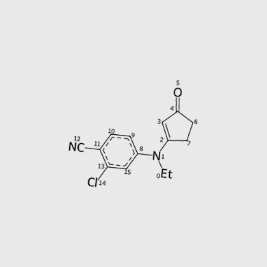 CCN(C1=CC(=O)CC1)c1ccc(C#N)c(Cl)c1